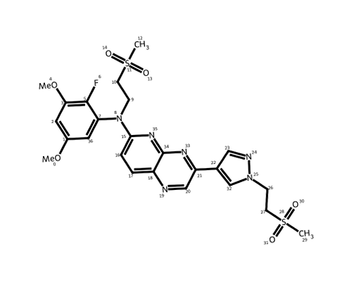 COc1cc(OC)c(F)c(N(CCS(C)(=O)=O)c2ccc3ncc(-c4cnn(CCS(C)(=O)=O)c4)nc3n2)c1